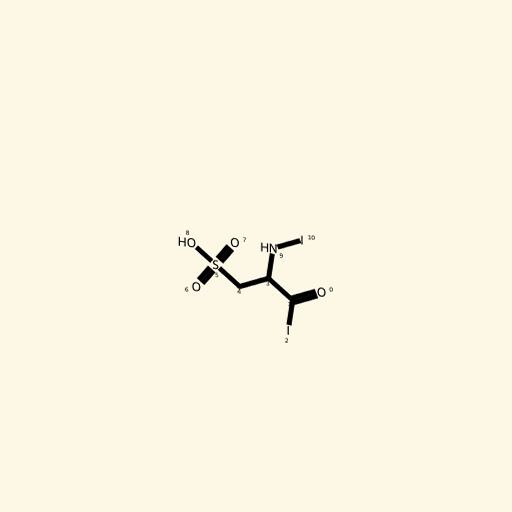 O=C(I)C(CS(=O)(=O)O)NI